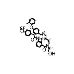 Cc1ccccc1Oc1ccc(CN(C)C[C@H]2Oc3c(NC(=O)Cc4ccc(OC(F)(F)F)cc4)cccc3C(=O)N([C@@H](C)CO)C[C@H]2C)cc1